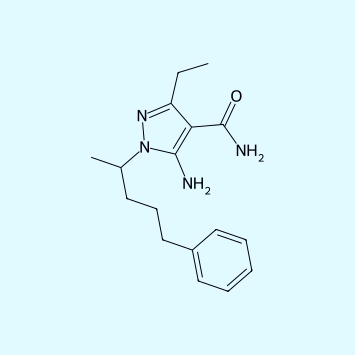 CCc1nn(C(C)CCCc2ccccc2)c(N)c1C(N)=O